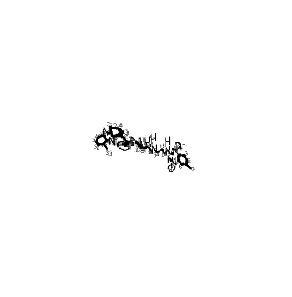 Cc1ccc2c(c1)[n+]([O-])nc(NCCCNCCCNC(=O)c1cccc3nc4cccc(C)c4nc13)[n+]2[O-]